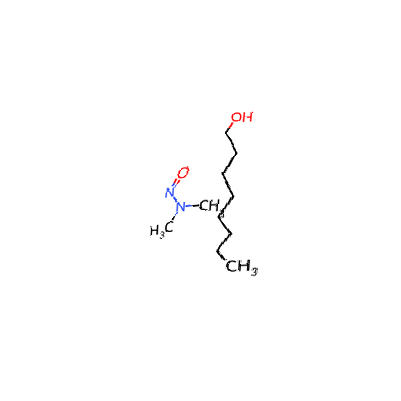 CCCCCCCCO.CN(C)N=O